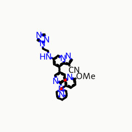 COc1ccc(CN2C3CC2CN(c2ccc(-c4cc(NCCn5cncn5)cn5ncc(C#N)c45)cn2)C3)cn1